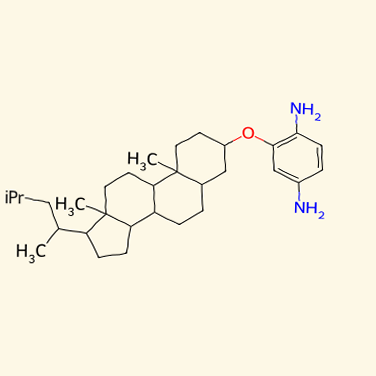 CC(C)CC(C)C1CCC2C3CCC4CC(Oc5cc(N)ccc5N)CCC4(C)C3CCC12C